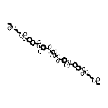 C=CC(=O)OCCCCOC(=O)Oc1ccc2cc(C(=O)Oc3ccc(C(=O)O[C@@H]4COC5C4OC[C@H]5OC(=O)c4ccc(OC(=O)c5ccc6cc(OC(=O)OCCCCOC(=O)C=C)ccc6c5)c(OC)c4)cc3OC)ccc2c1